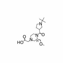 COC[C@H]1CN(CC(=O)O)CCN1C(=O)C1CCN(C(C)(C)C)C1